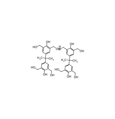 CC(C)(c1cc(CO)c(O)c(CO)c1)c1cc(CO)c(O)c(CO)c1.CC(C)(c1cc(CO)c(O)c(CO)c1)c1cc(CO)c(O)c(CO)c1